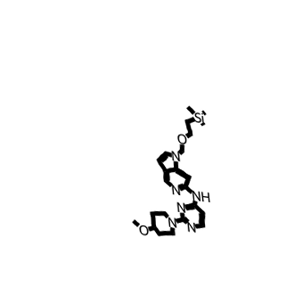 COC1CCN(c2nccc(Nc3cc4c(ccn4COCC[Si](C)(C)C)cn3)n2)CC1